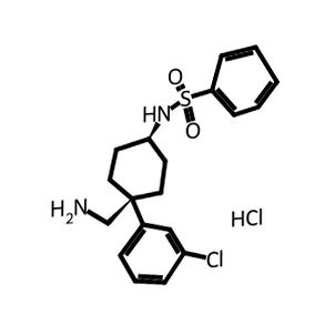 Cl.NC[C@]1(c2cccc(Cl)c2)CC[C@H](NS(=O)(=O)c2ccccc2)CC1